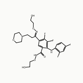 O=C(NOCCO)c1cc(/C(CCN2CCOCC2)=N/OCCO)c(F)c(F)c1Nc1ccc(I)cc1F